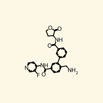 NCc1ccc(C(=O)Nc2ccncc2F)cc1-c1cccc(C(=O)NC2CCOC2=O)c1